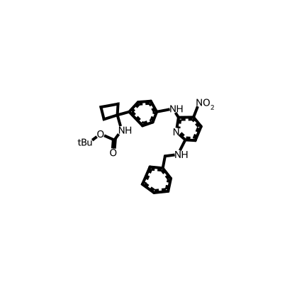 CC(C)(C)OC(=O)NC1(c2ccc(Nc3nc(NCc4ccccc4)ccc3[N+](=O)[O-])cc2)CCC1